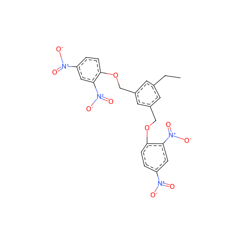 CCc1cc(COc2ccc([N+](=O)[O-])cc2[N+](=O)[O-])cc(COc2ccc([N+](=O)[O-])cc2[N+](=O)[O-])c1